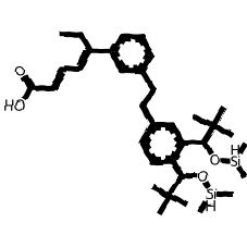 CCC(=CC=CC(=O)O)c1cccc(CCc2ccc(C(O[SiH](C)C)C(C)(C)C)c(C(O[SiH](C)C)C(C)(C)C)c2)c1